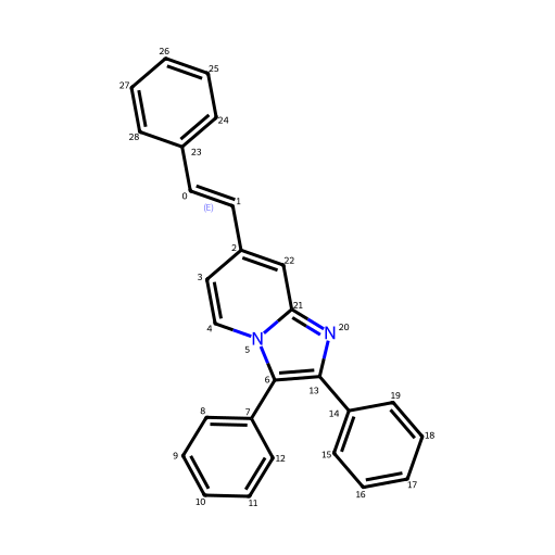 C(=C\c1ccn2c(-c3ccccc3)c(-c3ccccc3)nc2c1)/c1ccccc1